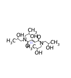 CC(O)CN(CC(C)O)C(=O)/C=C/C(=O)N(CC(C)O)CC(C)O